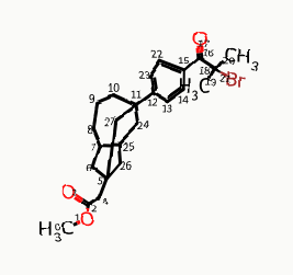 COC(=O)CC12CC3CCCC(c4ccc(C(=O)C(C)(C)Br)cc4)(CC3C1)C2